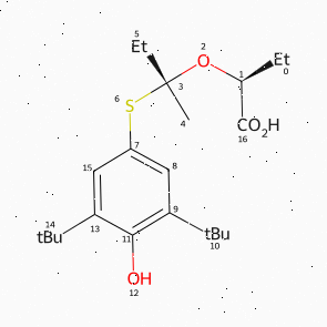 CC[C@H](O[C@@](C)(CC)Sc1cc(C(C)(C)C)c(O)c(C(C)(C)C)c1)C(=O)O